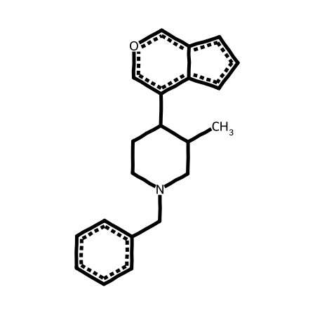 CC1CN(Cc2ccccc2)CCC1c1cocc2cccc1-2